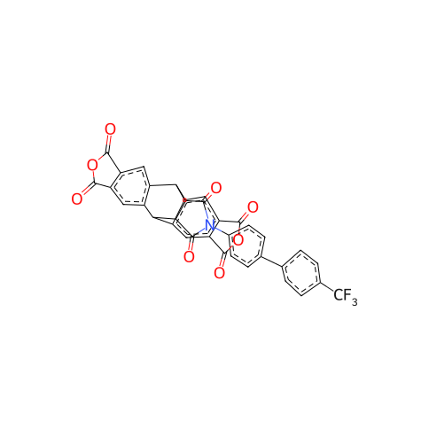 O=C1OC(=O)c2cc3c(cc21)C1c2cc4c(cc2C3C2C(=O)N(c3ccc(-c5ccc(C(F)(F)F)cc5)cc3)C(=O)C12)C(=O)OC4=O